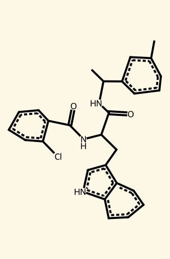 Cc1cccc(C(C)NC(=O)C(Cc2c[nH]c3ccccc23)NC(=O)c2ccccc2Cl)c1